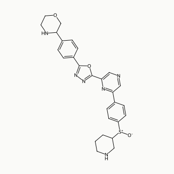 [O-][S+](c1ccc(-c2cncc(-c3nnc(-c4ccc(C5COCCN5)cc4)o3)n2)cc1)C1CCCNC1